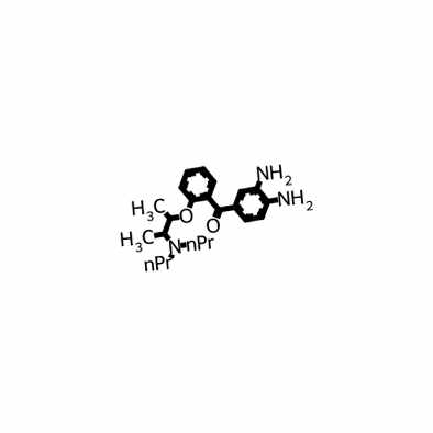 CCCN(CCC)C(C)C(C)Oc1ccccc1C(=O)c1ccc(N)c(N)c1